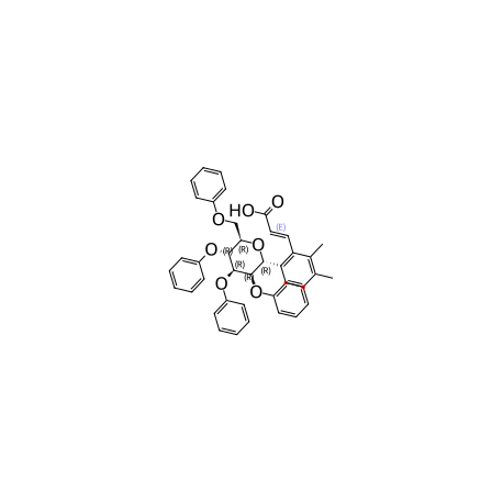 Cc1ccc([C@H]2O[C@H](COc3ccccc3)[C@@H](Oc3ccccc3)[C@H](Oc3ccccc3)[C@@H]2Oc2ccccc2)c(/C=C/C(=O)O)c1C